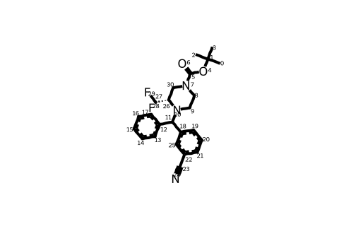 CC(C)(C)OC(=O)N1CCN(C(c2ccccc2)c2cccc(C#N)c2)[C@H](C(F)F)C1